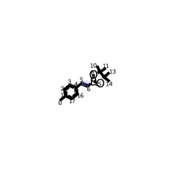 Cc1ccc(/C=C/B2OC(C)(C)C(C)(C)O2)cc1